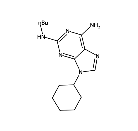 CCCCNc1nc(N)c2ncn(C3CCCCC3)c2n1